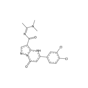 CC(=NC(=O)c1cnn2c(=O)cc(-c3ccc(Cl)c(Cl)c3)[nH]c12)N(C)C